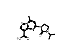 Cc1cc(N2CCN(C(C)C)C2=O)nc2c(C(=O)O)cnn12